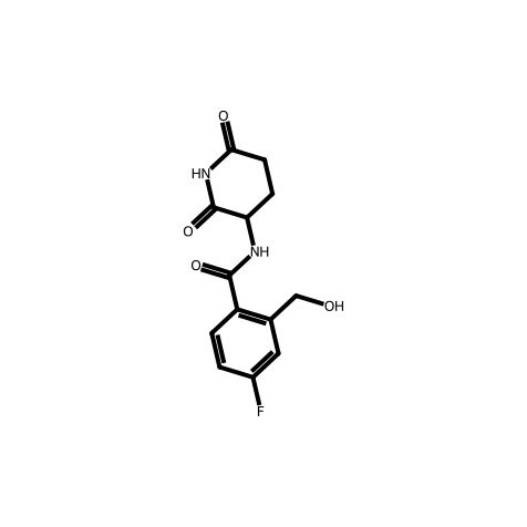 O=C1CCC(NC(=O)c2ccc(F)cc2CO)C(=O)N1